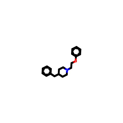 [c]1ccc(OCCN2CCC(Cc3ccccc3)CC2)cc1